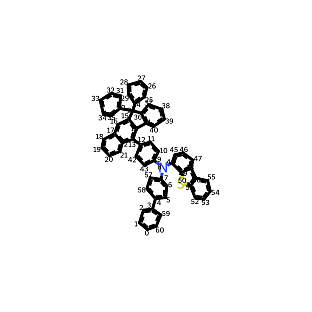 c1ccc(-c2ccc(N(c3ccc(-c4c5c(cc6ccccc46)C(c4ccccc4)(c4ccccc4)c4ccccc4-5)cc3)c3cccc4c3sc3ccccc34)cc2)cc1